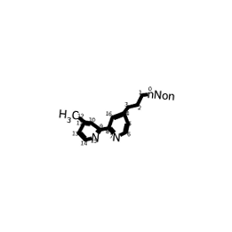 CCCCCCCCCCCCc1ccnc(-c2cc(C)ccn2)c1